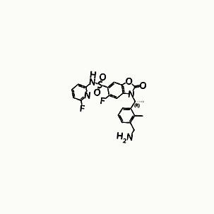 Cc1c(CN)cccc1[C@@H](C)n1c(=O)oc2cc(S(=O)(=O)Nc3cccc(F)n3)c(F)cc21